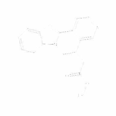 COC(=O)CC1Cn2c(cc3ccccc32)-c2ccccc21